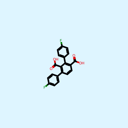 O=C(O)c1ccc(-c2ccc(F)cc2)c(C(=O)O)c1-c1ccc(F)cc1